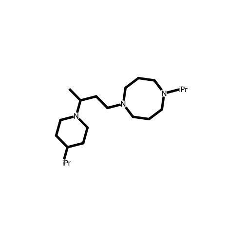 CC(C)C1CCN(C(C)CCN2CCCN(C(C)C)CCC2)CC1